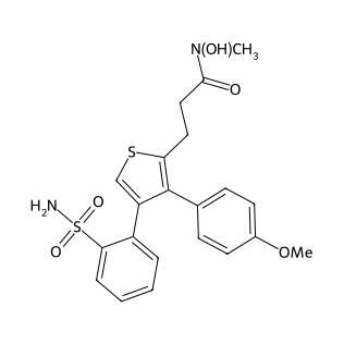 COc1ccc(-c2c(-c3ccccc3S(N)(=O)=O)csc2CCC(=O)N(C)O)cc1